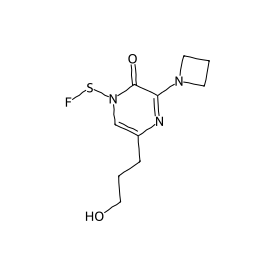 O=c1c(N2CCC2)nc(CCCO)cn1SF